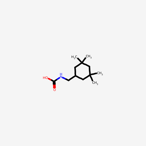 CC1(C)CC(CNC(=O)O)CC(C)(C)C1